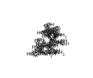 CC[C@H](C)[C@H](NC(=O)[C@H](CCC(N)=O)NC(=O)[C@H](C)NC(=O)[C@H](Cc1ccc(O)cc1)NC(=O)[C@@H](N)Cc1c[nH]c2ccccc12)C(=O)N[C@@H](CC(C)C)C(=O)N[C@@H](CCCNC(=N)N)C(=O)N[C@@H](CCCNC(=N)N)C(=O)N[C@@H](CCSC)C(=O)NCC(=O)N[C@@H](CC(=O)O)C(=O)N[C@@H](CCC(=O)O)C(=O)N[C@@H](Cc1ccccc1)C(=O)N[C@@H](CC(N)=O)C(=O)O